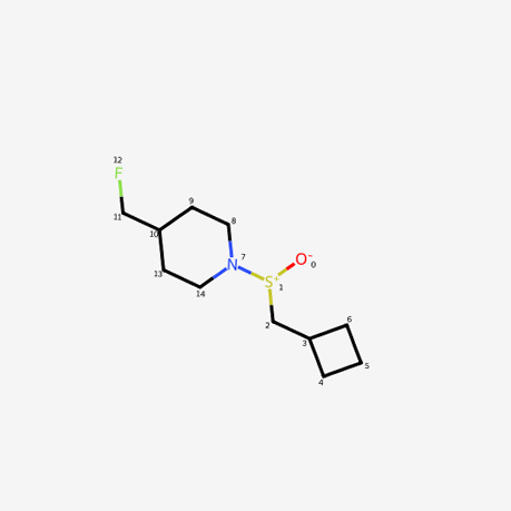 [O-][S+](CC1CCC1)N1CCC(CF)CC1